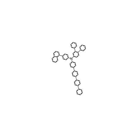 c1ccc(-c2ccc(-c3ccc(-c4ccc(N(c5ccc(-c6cccc7ccccc67)cc5)c5ccc(-c6ccccc6)c(-c6ccccc6)c5)cc4)cc3)cc2)cc1